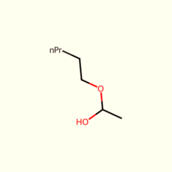 CCCCCOC(C)O